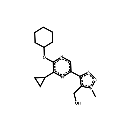 Cn1nnc(-c2cnc(OC3CCCCC3)c(C3CC3)n2)c1CO